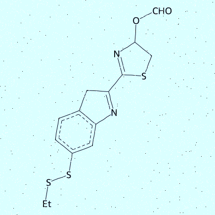 CCSSc1ccc2c(c1)N=C(C1=NC(OC=O)CS1)C2